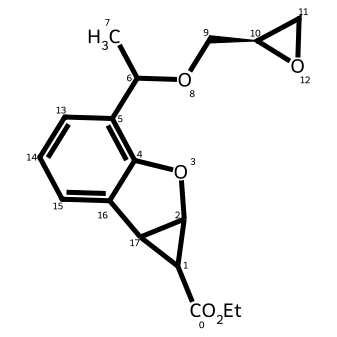 CCOC(=O)C1C2Oc3c(C(C)OC[C@H]4CO4)cccc3C21